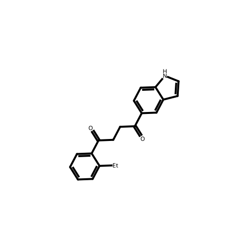 CCc1ccccc1C(=O)CCC(=O)c1ccc2[nH]ccc2c1